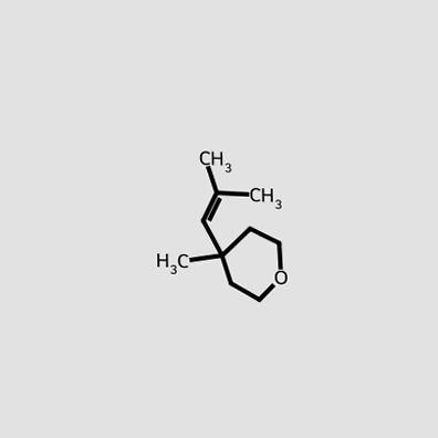 CC(C)=CC1(C)CCOCC1